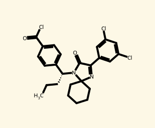 CCC[C@H](c1ccc(C(=O)Cl)cc1)N1C(=O)C(c2cc(Cl)cc(Cl)c2)=NC12CCCCC2